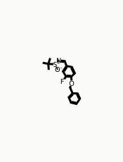 CC(C)(C)[S@+]([O-])/N=C\c1ccc(OCc2ccccc2)c(F)c1